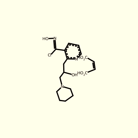 O=C(O)/C=C\C(=O)O.ON=C(Cl)c1cccnc1CC(O)CN1CCCCC1